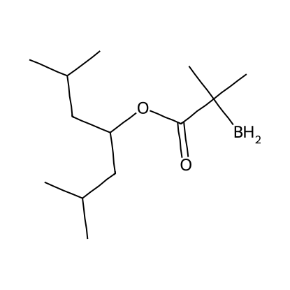 BC(C)(C)C(=O)OC(CC(C)C)CC(C)C